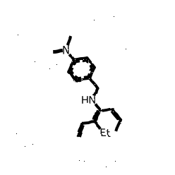 C=C/C(CC)=C(/C=C\C)NCc1ccc(N(C)C)cc1